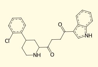 O=C(CCC(=O)C1CC(c2ccccc2Cl)CCN1)c1c[nH]c2ccccc12